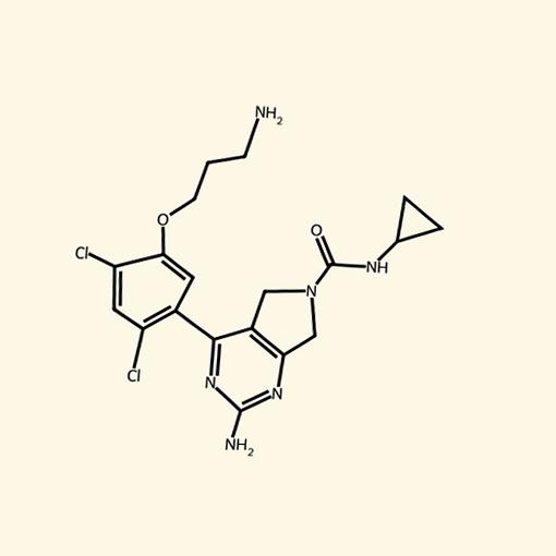 NCCCOc1cc(-c2nc(N)nc3c2CN(C(=O)NC2CC2)C3)c(Cl)cc1Cl